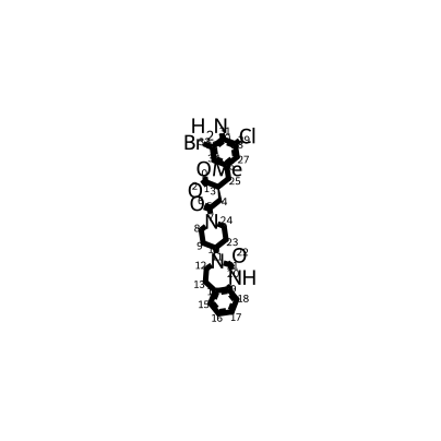 COC(=O)[C@H](CC(=O)N1CCC(N2CCc3ccccc3NC2=O)CC1)Cc1cc(Cl)c(N)c(Br)c1